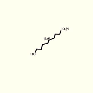 O=S(=O)(O)CCCCCCCCO.[NaH]